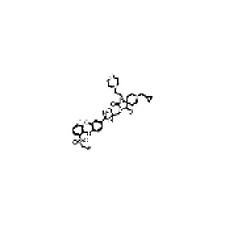 CC(C)CS(=O)(=O)c1ccccc1Oc1ccc(-c2noc(CN3C(=O)N(CCN4CCOCC4)C4(CCN(CC5CC5)CC4)C3=O)n2)cc1C(F)(F)F